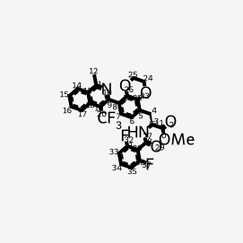 COC(=O)[C@H](Cc1ccc(-c2nc(C)c3ccccc3c2C(F)(F)F)c2c1OCCO2)NC(=O)c1c(F)cccc1F